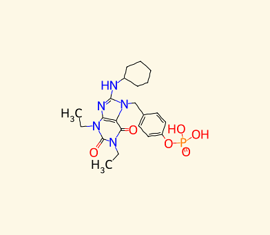 CCn1c(=O)c2c(nc(NC3CCCCC3)n2Cc2ccc(OP(=O)(O)O)cc2)n(CC)c1=O